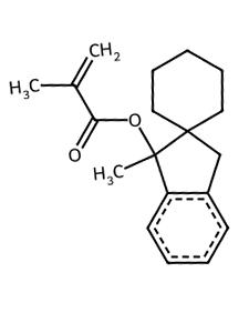 C=C(C)C(=O)OC1(C)c2ccccc2CC12CCCCC2